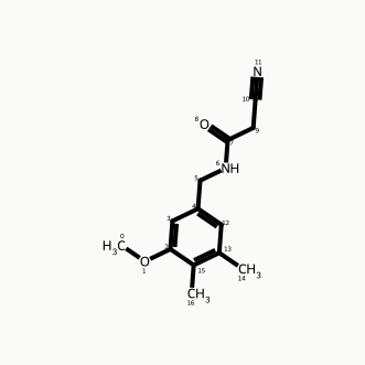 COc1cc(CNC(=O)CC#N)cc(C)c1C